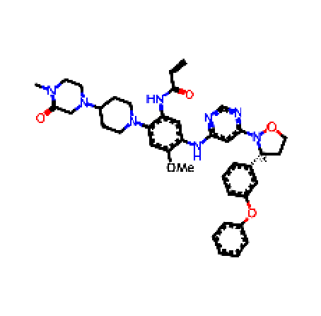 C=CC(=O)Nc1cc(Nc2cc(N3OCC[C@@H]3c3cccc(Oc4ccccc4)c3)ncn2)c(OC)cc1N1CCC(N2CCN(C)C(=O)C2)CC1